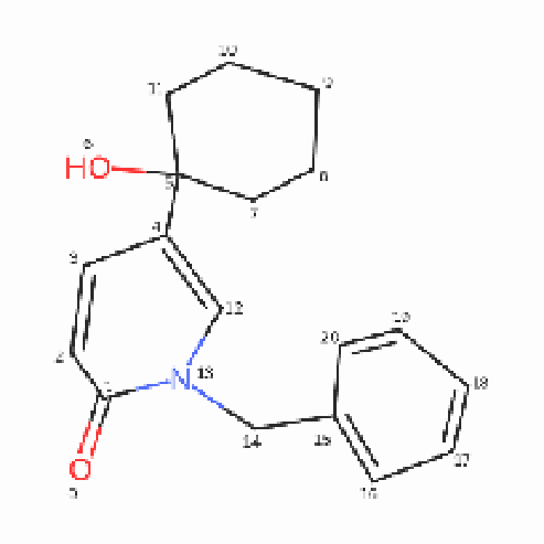 O=c1ccc(C2(O)CCCCC2)cn1Cc1ccccc1